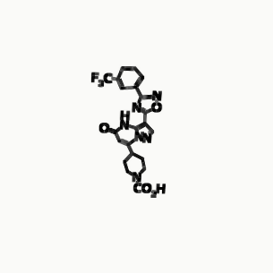 O=C(O)N1CCC(c2cc(=O)[nH]c3c(-c4nc(-c5cccc(C(F)(F)F)c5)no4)cnn23)CC1